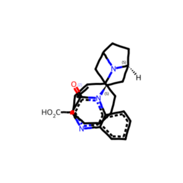 O=C(O)c1nc2ccccc2n([C@H]2CC3CC[C@@H](C2)N3C2/C=C\CCCCC2)c1=O